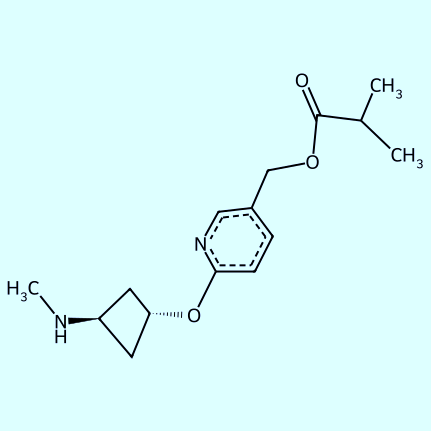 CN[C@H]1C[C@H](Oc2ccc(COC(=O)C(C)C)cn2)C1